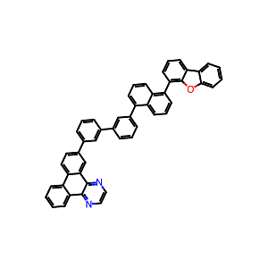 c1cc(-c2cccc(-c3cccc4c(-c5cccc6c5oc5ccccc56)cccc34)c2)cc(-c2ccc3c4ccccc4c4nccnc4c3c2)c1